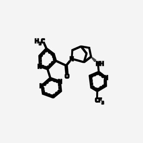 Cc1cnc(-c2ncccn2)c(C(=O)N2CC3CC2[C@@H](Nc2ccc(C(F)(F)F)cn2)C3)c1